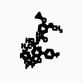 COc1cc(C(=O)NCC(C)(O)c2cc3c(c(-c4ccc(F)cc4)n2)OC[C@@]3(n2cnnc2)C(F)(F)F)ccc1OC1CC1